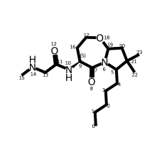 CCCCCC1N2C(=O)[C@@H](NC(=O)CNC)CCOC2CC1(C)C